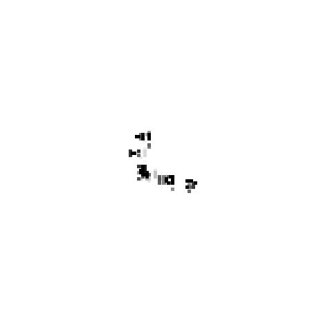 Cl.Cl.Cl.Cl.[Si].[Zn]